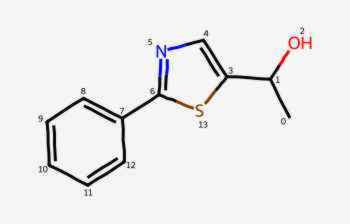 CC(O)c1cnc(-c2ccccc2)s1